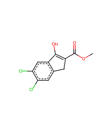 COC(=O)C1=C(O)c2cc(Cl)c(Cl)cc2C1